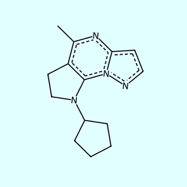 Cc1nc2ccnn2c2c1CCN2C1CCCC1